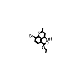 CCOC(=O)c1ccc(Br)c2nc(C)cc(O)c12